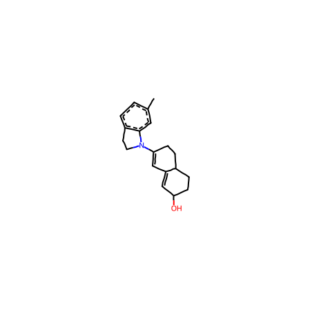 Cc1ccc2c(c1)N(C1=CC3=CC(O)CCC3CC1)CC2